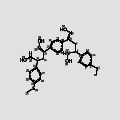 CSc1ccc(C(C/C(=N/O)c2ccc(/C(CC(NO)c3ccc(SC)cc3)=N\O)cc2)NO)cc1